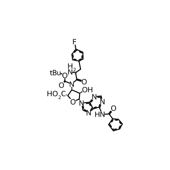 CC(C)(C)OC(=O)N(C(=O)C(N)Cc1ccc(F)cc1)[C@H]1[C@@H](O)[C@H](n2cnc3c(NC(=O)c4ccccc4)ncnc32)O[C@@H]1C(=O)O